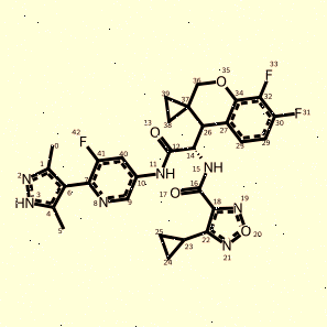 Cc1n[nH]c(C)c1-c1ncc(NC(=O)[C@@H](NC(=O)c2nonc2C2CC2)C2c3ccc(F)c(F)c3OCC23CC3)cc1F